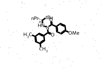 CCC[C@@H](NN(C(=O)c1ccc(OC)cc1)C(=O)c1cc(C)cc(C)c1)C(C)(C)C